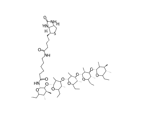 CCC1O[C@H](O[C@@H]2C(C)[C@@H](O[C@@H]3C(C)[C@@H](O[C@@H]4C(C)[C@@H](OC5[C@@H](C)[C@H](C)C(CC)O[C@@H]5NC(=O)CCCCCNC(=O)CCCC[C@@H]5SC[C@@H]6NC(=O)N[C@@H]65)OC(CC)[C@H]4C)OC(CC)[C@H]3C)OC(CC)[C@H]2C)C(C)[C@@H](C)[C@@H]1C